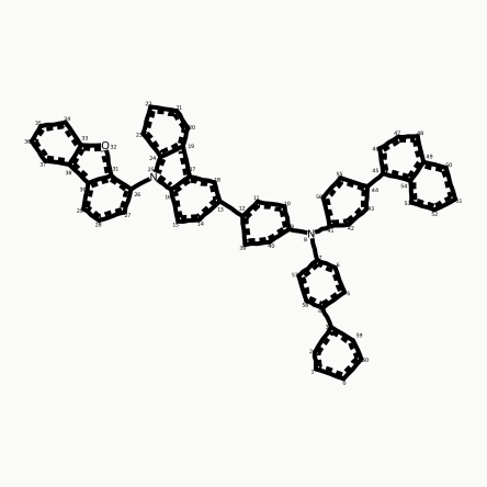 c1ccc(-c2ccc(N(c3ccc(-c4ccc5c(c4)c4ccccc4n5-c4cccc5c4oc4ccccc45)cc3)c3ccc(-c4cccc5ccccc45)cc3)cc2)cc1